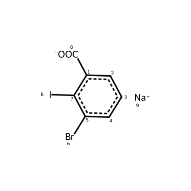 O=C([O-])c1cccc(Br)c1I.[Na+]